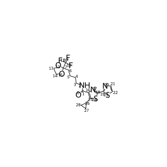 O=C(NCCCCC1(C(F)(F)F)OCCO1)c1nc(-c2nccs2)sc1C1CC1